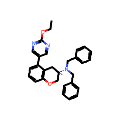 CCOc1ncc(-c2cccc3c2C[C@H](N(Cc2ccccc2)Cc2ccccc2)CO3)cn1